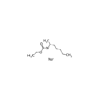 CCCCCC(C)[N-]C(=O)OCC.[Na+]